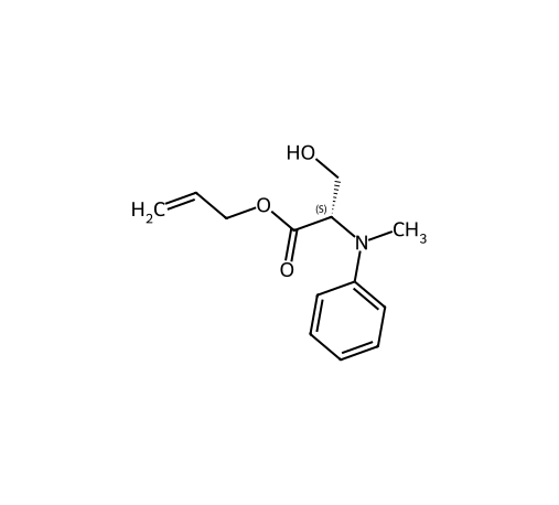 C=CCOC(=O)[C@H](CO)N(C)c1ccccc1